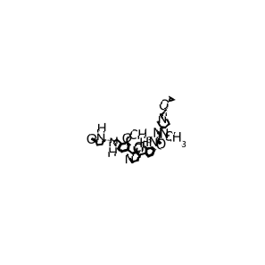 COc1cc(-c2nccc(-c3cccc(NC(=O)c4nc5c(n4C)CCN(CCOC4CC4)C5)c3Cl)c2Cl)ccc1CNC[C@@H]1CCC(=O)N1